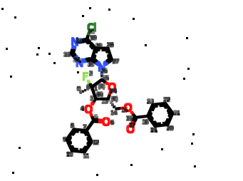 C[C@@]1(F)[C@H](OC(=O)c2ccccc2)[C@@H](COC(=O)c2ccccc2)O[C@H]1n1ccc2c(Cl)ncnc21